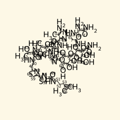 Cc1c(N)nc([C@H](CC(N)=O)NC[C@H](N)C(N)=O)nc1C(=O)N[C@H](C(=O)N[C@H](C)[C@@H](O)[C@H](C)C(=O)N[C@H](C(=O)NCCc1nc(-c2nc(C(=O)NCCC[S+](C)C)cs2)cs1)[C@@H](C)O)C(O[C@@H]1O[C@@H](CO)[C@@H](O)[C@H](O)[C@@H]1O[C@H]1O[C@H](CO)[C@@H](O)[C@H](OC(N)=O)[C@@H]1O)c1cnc[nH]1